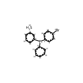 Brc1ccc(P(c2ccccc2)c2ccccc2)cc1.S